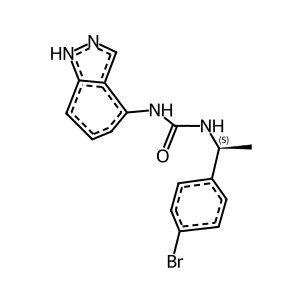 C[C@H](NC(=O)Nc1cccc2[nH]ncc12)c1ccc(Br)cc1